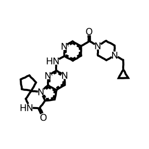 O=C1NCC2(CCCC2)n2c1cc1cnc(Nc3ccc(C(=O)N4CCN(CC5CC5)CC4)cn3)nc12